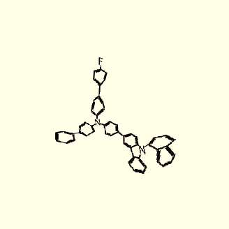 Fc1ccc(-c2ccc(N(c3ccc(-c4ccccc4)cc3)c3ccc(-c4ccc5c(c4)c4ccccc4n5-c4cccc5ccccc45)cc3)cc2)cc1